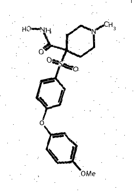 COc1ccc(Oc2ccc(S(=O)(=O)C3(C(=O)NO)CCN(C)CC3)cc2)cc1